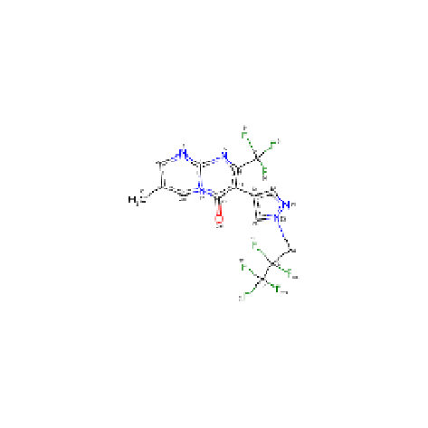 Cc1cnc2nc(C(F)(F)F)c(-c3cnn(CC(F)(F)C(F)(F)F)c3)c(=O)n2c1